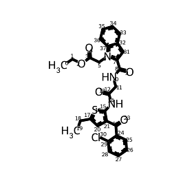 CCOC(=O)Cn1c(C(=O)NCC(=O)Nc2sc(CC)cc2C(=O)c2ccccc2Cl)cc2ccccc21